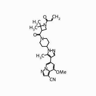 C=CC(=O)N1CC(C(=O)N2CCC(n3ncc(-c4cc(OC)c5c(C#N)cnn5c4)c3C)CC2)C1(C)C